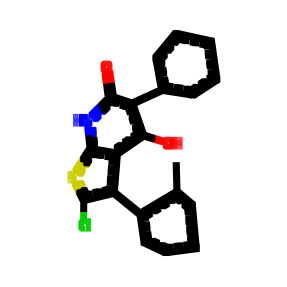 Cc1ccccc1-c1c(Cl)sc2[nH]c(=O)c(-c3ccccc3)c(O)c12